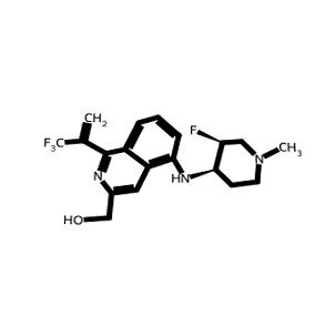 C=C(c1nc(CO)cc2c(N[C@@H]3CCN(C)C[C@@H]3F)cccc12)C(F)(F)F